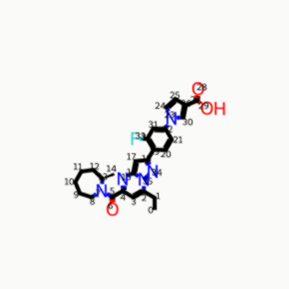 CCc1cc(C(=O)N2CCCCC[C@H]2C)nc2cc(-c3ccc(-n4ccc(C(=O)O)c4)cc3F)nn12